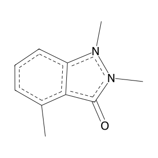 Cc1cccc2c1c(=O)n(C)n2C